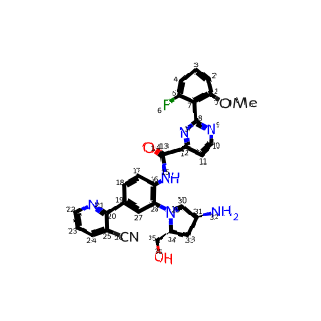 COc1cccc(F)c1-c1nccc(C(=O)Nc2ccc(-c3ncccc3C#N)cc2N2C[C@@H](N)C[C@H]2CO)n1